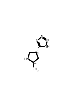 C[C@@H]1C[C@@H](c2nnn[nH]2)CN1